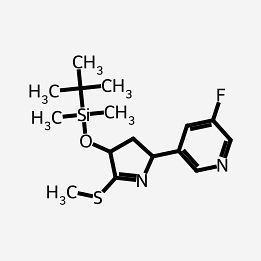 CSC1=NC(c2cncc(F)c2)CC1O[Si](C)(C)C(C)(C)C